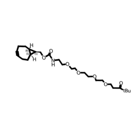 CC(C)(C)C(=O)CCOCCOCCOCCOCCNC(=O)OC[C@@H]1[C@@H]2CCC#CCC[C@@H]21